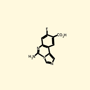 Nc1nc2cc(F)c(C(=O)O)cc2c2cncn12